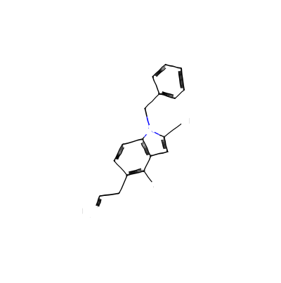 C=CCc1ccc2c(cc(C)n2Cc2ccccc2)c1C